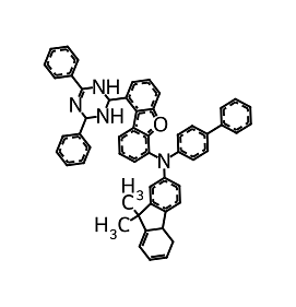 CC1(C)C2=CC=CCC2c2ccc(N(c3ccc(-c4ccccc4)cc3)c3cccc4c3oc3cccc(C5NC(c6ccccc6)=NC(c6ccccc6)N5)c34)cc21